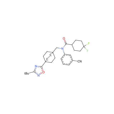 CC(C)(C)c1noc(C23CCC(CN(C(=O)C4CCC(F)(F)CC4)c4cccc(C#N)c4)(CC2)CC3)n1